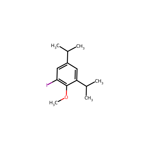 COc1c(I)cc(C(C)C)cc1C(C)C